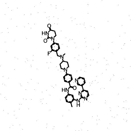 Cc1ccc(NC(=O)c2ccc(N3CCC(N(C)Cc4ccc(N5CCC(=O)NC5=O)cc4F)CC3)cc2)cc1Nc1nccc(-c2cccnc2)n1